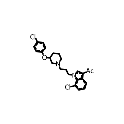 CC(=O)c1cn(CCCN2CCCC(Oc3ccc(Cl)cc3)C2)c2c(Cl)cccc12